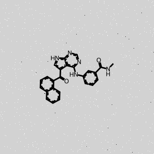 CNC(=O)c1cccc(Nc2ncnc3[nH]cc(C(=O)c4cccc5ccccc45)c23)c1